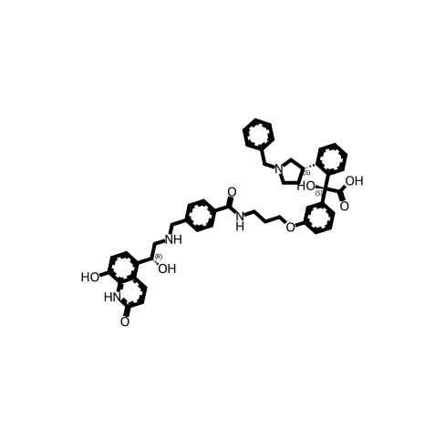 O=C(NCCCOc1cccc([C@@](O)(C(=O)O)c2ccccc2[C@@H]2CCN(Cc3ccccc3)C2)c1)c1ccc(CNC[C@H](O)c2ccc(O)c3[nH]c(=O)ccc23)cc1